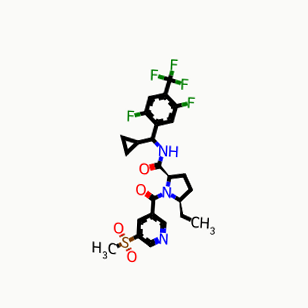 CC[C@@H]1CC[C@H](C(=O)NC(c2cc(F)c(C(F)(F)F)cc2F)C2CC2)N1C(=O)c1cncc(S(C)(=O)=O)c1